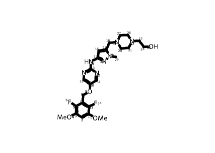 COc1cc(OC)c(F)c(COc2cnc(Nc3cc(CN4CCN(CCO)CC4)n(C)n3)nc2)c1F